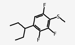 CCC(CC)c1cc(F)c(SC)c(F)c1F